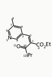 CCOC(=O)C(=Cc1cncc(C)c1)C(=O)C(C)C